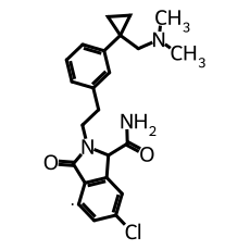 CN(C)CC1(c2cccc(CCN3C(=O)c4[c]cc(Cl)cc4C3C(N)=O)c2)CC1